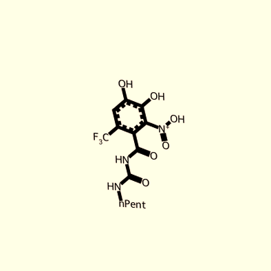 CCCCCNC(=O)NC(=O)c1c(C(F)(F)F)cc(O)c(O)c1[N+](=O)O